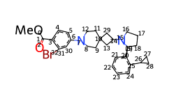 COC(=O)c1ccc(N2CCC3(CC2)CC(N2CCC[C@H]2c2ccccc2C2CC2)C3)cc1Br